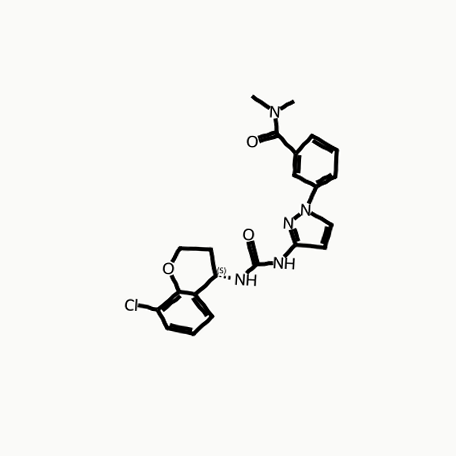 CN(C)C(=O)c1cccc(-n2ccc(NC(=O)N[C@H]3CCOc4c(Cl)cccc43)n2)c1